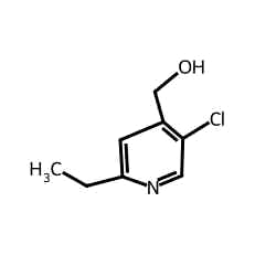 CCc1cc(CO)c(Cl)cn1